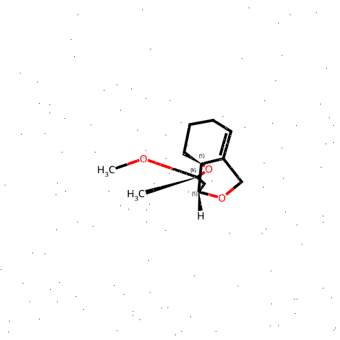 CO[C@@]1(C)C[C@@H]2OCC3=CCCC[C@]32O1